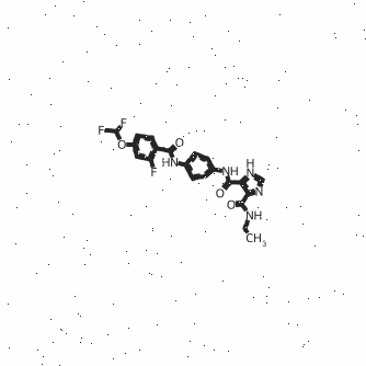 CCNC(=O)c1nc[nH]c1C(=O)Nc1ccc(NC(=O)c2ccc(OC(F)F)cc2F)cc1